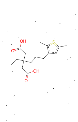 CCC(CCCc1cc(C)sc1C)(CC(=O)O)CC(=O)O